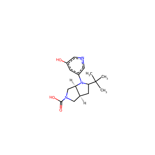 CC(C)(C)C1C[C@H]2CN(C(=O)O)C[C@H]2N1c1cncc(O)c1